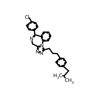 CC(C)Cc1ccc(CCCc2nnc3n2-c2ccccc2C(c2ccc(Cl)cc2)=NC3)cc1